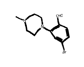 CN1CCN(c2cc(Br)ccc2C=O)CC1